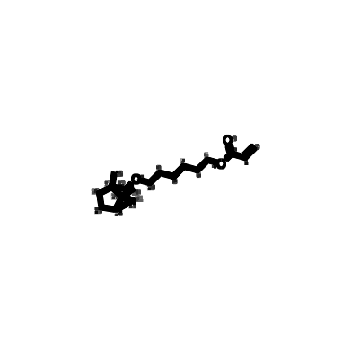 C=CC(=O)OCCCCCCOC1CC2CCC1(C)C2(C)C